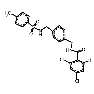 Cc1ccc(S(=O)(=O)NCc2ccc(CNC(=O)c3c(Cl)cc(Cl)cc3Cl)cc2)cc1